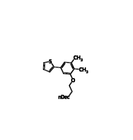 CCCCCCCCCCCCOc1cc(-c2cccs2)cc(C)c1C